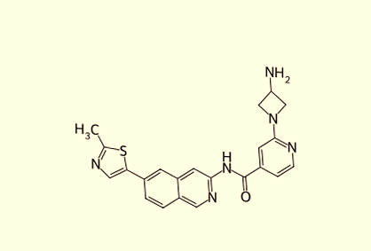 Cc1ncc(-c2ccc3cnc(NC(=O)c4ccnc(N5CC(N)C5)c4)cc3c2)s1